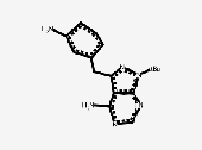 CC(C)(C)n1nc(Cc2cccc(N)c2)c2c(N)ncnc21